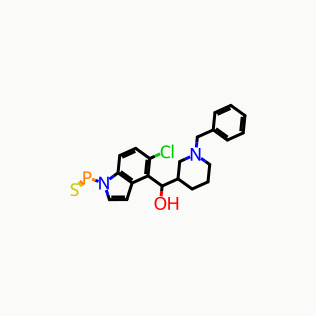 OC(c1c(Cl)ccc2c1ccn2P=S)C1CCCN(Cc2ccccc2)C1